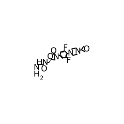 NCC(=O)NC[C@@H]1CN(c2cc(F)c(N3CCN(C4COC4)CC3)c(F)c2)C(=O)O1